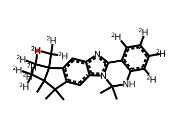 [2H]c1c([2H])c([2H])c2c(c1[2H])NC(C)(C)n1c-2nc2cc3c(cc21)C(C)(C)C(C)(C([2H])([2H])[2H])C3(C([2H])([2H])[2H])C([2H])([2H])[2H]